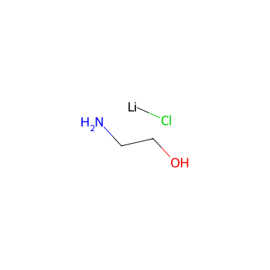 NCCO.[Li][Cl]